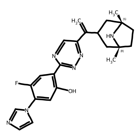 C=C(c1cnc(-c2cc(F)c(-n3ccnc3)cc2O)nn1)C1C[C@]2(C)CC[C@](C)(C1)N2